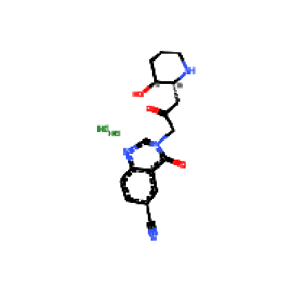 Cl.Cl.N#Cc1ccc2ncn(CC(=O)C[C@H]3NCCC[C@@H]3O)c(=O)c2c1